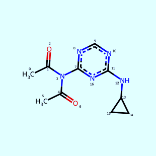 CC(=O)N(C(C)=O)c1ncnc(NC2CC2)n1